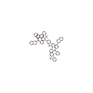 CC1(C)c2ccccc2-c2c(-c3ccccc3N(c3ccc(-c4ccc5ccccc5c4)cc3)c3ccccc3-c3cccc4c3oc3cc(-c5ccc(-c6ccccc6N(c6ccc7ccccc7c6)c6ccccc6-c6cccc7c6oc6ccccc67)c6c5C(C)(C)c5ccccc5-6)ccc34)cccc21